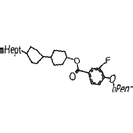 CCCCCCCC1CCC(C2CCC(OC(=O)c3ccc(OCCCCC)c(F)c3)CC2)CC1